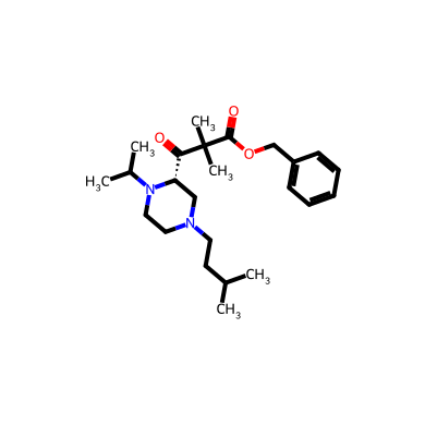 CC(C)CCN1CCN(C(C)C)[C@H](C(=O)C(C)(C)C(=O)OCc2ccccc2)C1